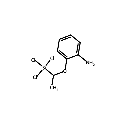 CC(Oc1ccccc1N)[Si](Cl)(Cl)Cl